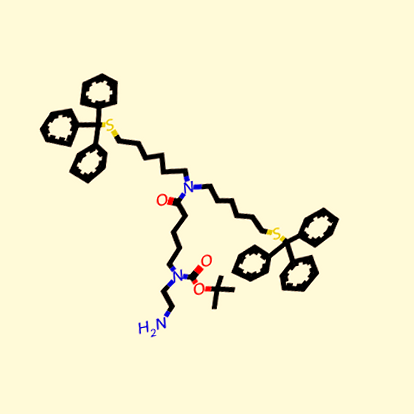 CC(C)(C)OC(=O)N(CCN)CCCCC(=O)N(CCCCCCSC(c1ccccc1)(c1ccccc1)c1ccccc1)CCCCCCSC(c1ccccc1)(c1ccccc1)c1ccccc1